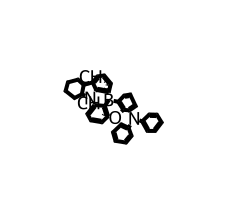 CC12CCCCC1(C)N1c3cccc4c3B(c3cccc(N(c5ccccc5)c5ccccc5)c3O4)c3cccc2c31